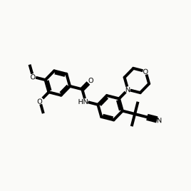 COc1ccc(C(=O)Nc2ccc(C(C)(C)C#N)c(N3CCOCC3)c2)cc1OC